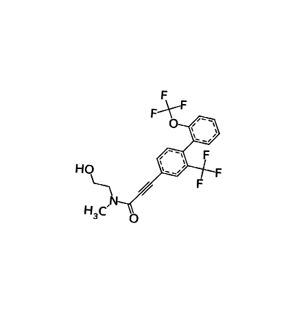 CN(CCO)C(=O)C#Cc1ccc(-c2ccccc2OC(F)(F)F)c(C(F)(F)F)c1